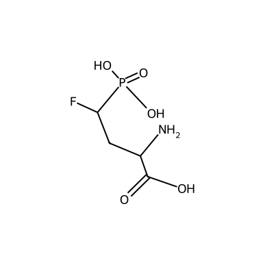 NC(CC(F)P(=O)(O)O)C(=O)O